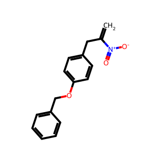 C=C(Cc1ccc(OCc2ccccc2)cc1)[N+](=O)[O-]